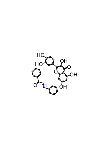 O=C(/C=C/c1ccccc1)c1ccccc1.O=c1c(O)c(-c2ccc(O)c(O)c2)oc2cc(O)cc(O)c12